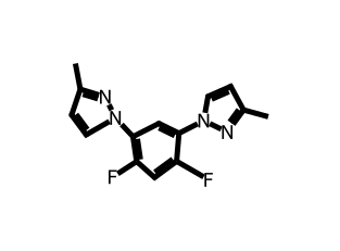 Cc1ccn(-c2cc(-n3ccc(C)n3)c(F)cc2F)n1